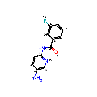 Nc1ccc(NC(=O)c2cccc(F)c2)nc1